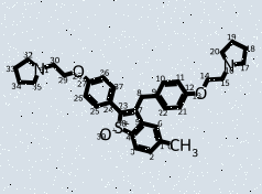 Cc1ccc2c(c1)c(Cc1ccc(OCCN3CCCC3)cc1)c(-c1ccc(OCCN3CCCC3)cc1)[s+]2[O-]